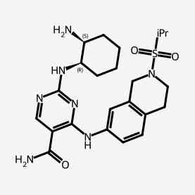 CC(C)S(=O)(=O)N1CCc2ccc(Nc3nc(N[C@@H]4CCCC[C@@H]4N)ncc3C(N)=O)cc2C1